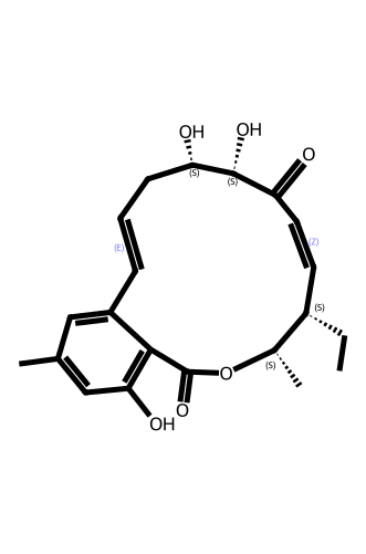 CC[C@H]1/C=C\C(=O)[C@@H](O)[C@@H](O)C/C=C/c2cc(C)cc(O)c2C(=O)O[C@H]1C